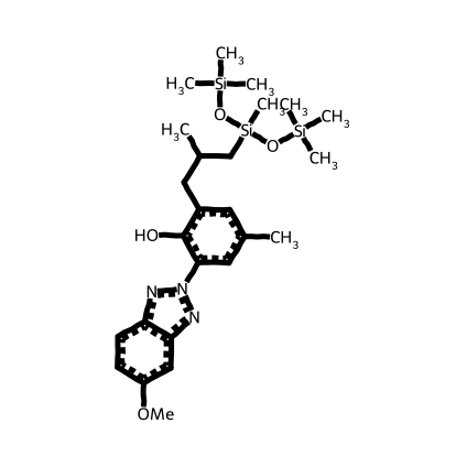 COc1ccc2nn(-c3cc(C)cc(CC(C)C[Si](C)(O[Si](C)(C)C)O[Si](C)(C)C)c3O)nc2c1